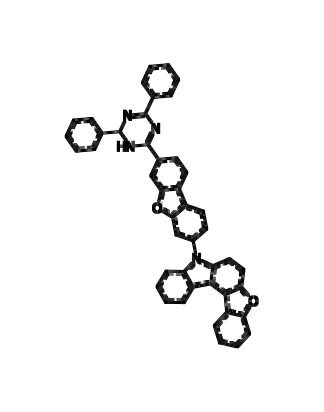 c1ccc(C2=NC(c3ccccc3)NC(c3ccc4c(c3)oc3cc(-n5c6ccccc6c6c7c(ccc65)oc5ccccc57)ccc34)=N2)cc1